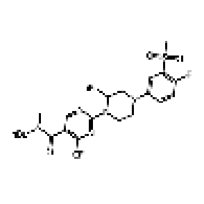 CCCCN(C)C(=O)c1cnc(N2CCN(c3ccc(F)c(S(C)(=O)=O)c3)CC2C(C)C)nc1C(F)(F)F